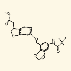 COC(=O)CC1COc2cc(OCc3cc(NC(=O)C(C)(C)C)cc4c3OCO4)ccc21